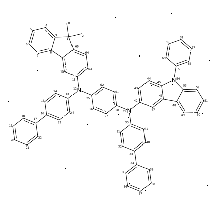 CC1(C)c2ccccc2-c2cc(N(c3ccc(-c4ccccc4)cc3)c3ccc(N(c4ccc(-c5ccccc5)cc4)c4ccc5c(c4)c4ccccc4n5-c4ccccc4)cc3)ccc21